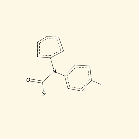 Cc1ccc(N(C(=O)[S])c2ccccc2)cc1